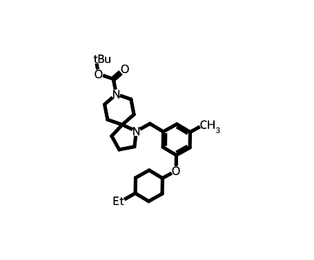 CCC1CCC(Oc2cc(C)cc(CN3CCCC34CCN(C(=O)OC(C)(C)C)CC4)c2)CC1